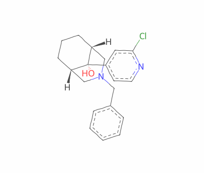 O[C@@]1(c2ccnc(Cl)c2)[C@@H]2CCC[C@H]1CN(Cc1ccccc1)C2